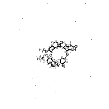 COc1cc2c3cc1Oc1c(OC)c(OC)cc4c1[C@H](Cc1ccc(cc1)Oc1cc(cc5[nH]c(=O)[nH]c15)C[C@H]3N(C)CC2)N(C)CC4